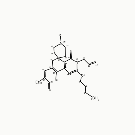 BCCCSC1=NC2=C(C(=C)N1CC=C)C1(CCN(C)CC1)CC(/C=C(\C=C)CC)=C2C